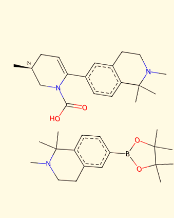 CN1CCc2cc(B3OC(C)(C)C(C)(C)O3)ccc2C1(C)C.C[C@H]1CC=C(c2ccc3c(c2)CCN(C)C3(C)C)N(C(=O)O)C1